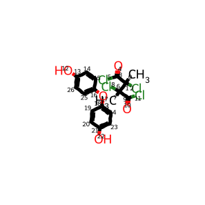 CC(Cl)(C(=O)Cl)C(C)(Cl)C(=O)Cl.Oc1ccc(Oc2ccc(O)cc2)cc1